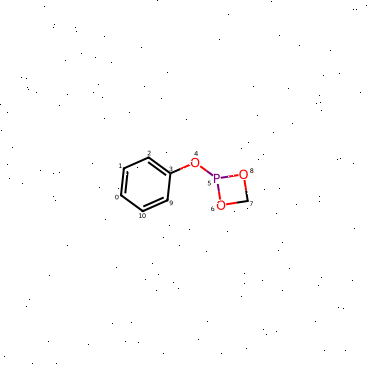 c1ccc(OP2OCO2)cc1